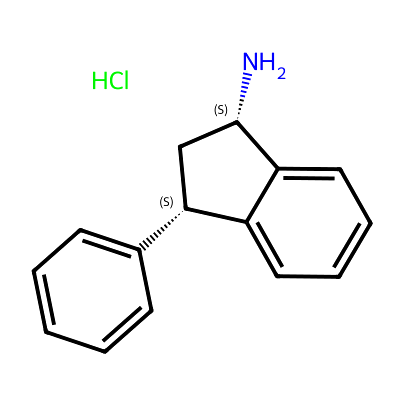 Cl.N[C@H]1C[C@@H](c2ccccc2)c2ccccc21